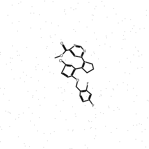 COC(=O)c1cc(C2=C(c3cc(Cl)ccc3OCc3ccc(F)cc3F)CCC2)ncn1